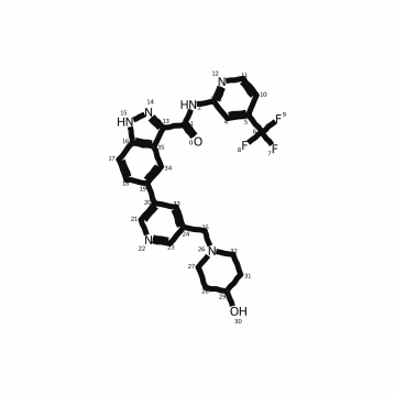 O=C(Nc1cc(C(F)(F)F)ccn1)c1n[nH]c2ccc(-c3cncc(CN4CCC(O)CC4)c3)cc12